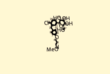 CO/N=C/CCOc1ccc(Cc2cc([C@@H]3O[C@H](CO)[C@@H](O)[C@H](O)[C@H]3O)ccc2Cl)cc1